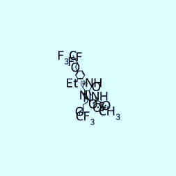 CCc1cc(OCC(F)(F)C(F)(F)F)ccc1[C@H]1Cc2nn(CCCOC(F)(F)F)c(NC(=O)CS(C)(=O)=O)c2C(=O)N1